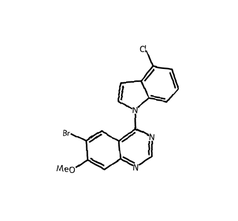 COc1cc2ncnc(-n3ccc4c(Cl)cccc43)c2cc1Br